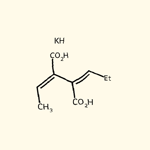 CC=C(C(=O)O)C(=CCC)C(=O)O.[KH]